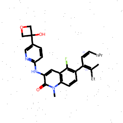 CCC/C=C\C(=C(/C)CC)c1ccc2c(cc(Nc3ccc(C4(O)COC4)cn3)c(=O)n2C)c1F